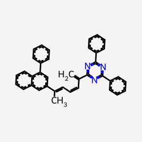 C=C(/C=C\C=C(/C)c1cc(-c2ccccc2)c2ccccc2c1)c1nc(-c2ccccc2)nc(-c2ccccc2)n1